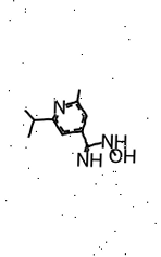 Cc1cc(C(=N)NO)cc(C(C)C)n1